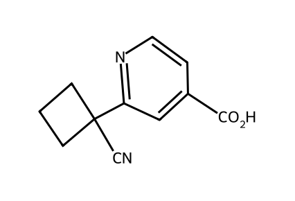 N#CC1(c2cc(C(=O)O)ccn2)CCC1